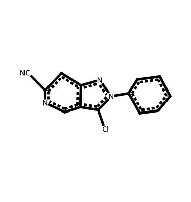 N#Cc1cc2nn(-c3ccccc3)c(Cl)c2cn1